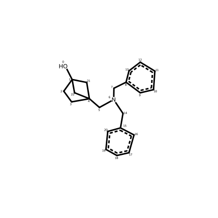 OC12CCC(CN(Cc3ccccc3)Cc3ccccc3)(C1)C2